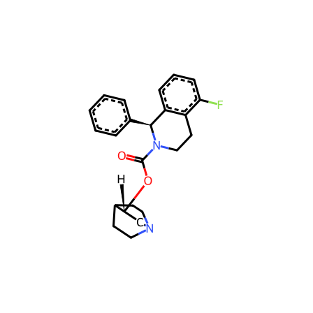 O=C(O[C@@H]1CN2CCC1CC2)N1CCc2c(F)cccc2[C@@H]1c1ccccc1